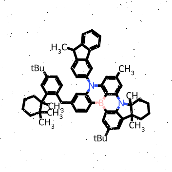 Cc1cc2c3c(c1)N1c4c(cc(C(C)(C)C)cc4C4(C)CCCCC14C)B3c1ccc(Cc3ccc(C(C)(C)C)cc3C3(C)CCCCC3(C)C)cc1N2c1ccc2c(c1)-c1ccccc1C2C